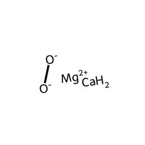 [CaH2].[Mg+2].[O-][O-]